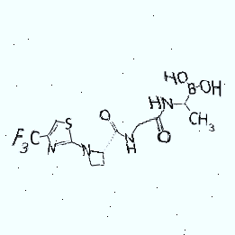 CC(NC(=O)CNC(=O)[C@@H]1CCN1c1nc(C(F)(F)F)cs1)B(O)O